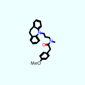 COc1ccc(CC(=O)N(C)CCCN2c3ccccc3CCc3ccccc32)cc1